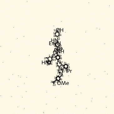 C=C1CC(Oc2cc(N3CCC(N4CCN(Cc5ccc(C6CC6)c(OC)c5)C[C@H]4c4ccccc4C(C)C)CC3)ccc2C(=O)NS(=O)(=O)c2cnc(NC[C@H]3CC[C@](C)(O)CC3)c(CC)c2)=Cc2cc[nH]c21